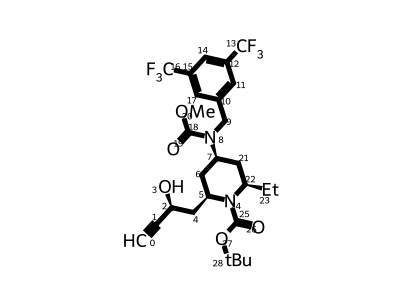 C#C[C@@H](O)C[C@H]1C[C@@H](N(Cc2cc(C(F)(F)F)cc(C(F)(F)F)c2)C(=O)OC)C[C@@H](CC)N1C(=O)OC(C)(C)C